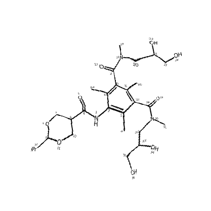 Cc1c(NC(=O)C2COC(C(C)C)OC2)c(C)c(C(=O)N(C)CC(O)CO)c(C)c1C(=O)N(C)CC(O)CO